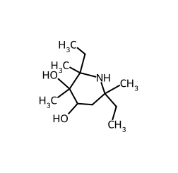 CCC1(C)CC(O)C(C)(O)C(C)(CC)N1